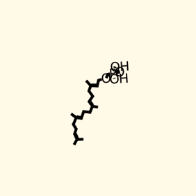 CC(C)=CCCC(C)=CCCC(C)=CCCC(C)=CCOCP(=O)(O)O